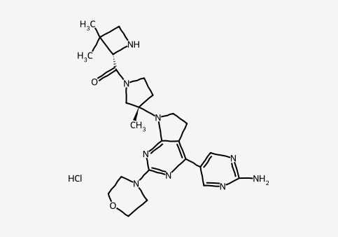 CC1(C)CN[C@@H]1C(=O)N1CC[C@](C)(N2CCc3c(-c4cnc(N)nc4)nc(N4CCOCC4)nc32)C1.Cl